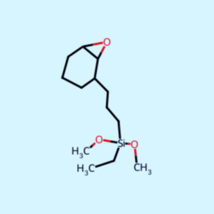 CC[Si](CCCC1CCCC2OC12)(OC)OC